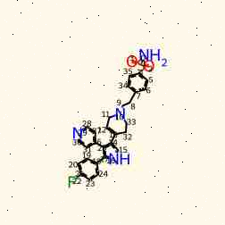 NS(=O)(=O)c1ccc(CCN2CC=C(c3c[nH]c(-c4ccc(F)cc4)c3-c3ccncc3)CC2)cc1